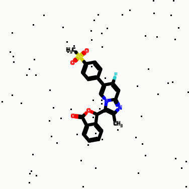 Cc1nc2cc(F)c(-c3ccc(S(C)(=O)=O)cc3)cn2c1C1OC(=O)c2ccccc21